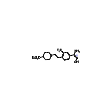 CCOC(=O)C1CCN(CCc2ccc(/C(N)=N\O)cc2C(F)(F)F)CC1